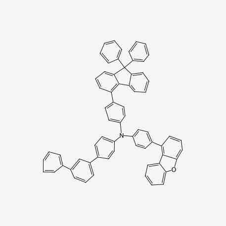 c1ccc(-c2cccc(-c3ccc(N(c4ccc(-c5cccc6c5-c5ccccc5C6(c5ccccc5)c5ccccc5)cc4)c4ccc(-c5cccc6oc7ccccc7c56)cc4)cc3)c2)cc1